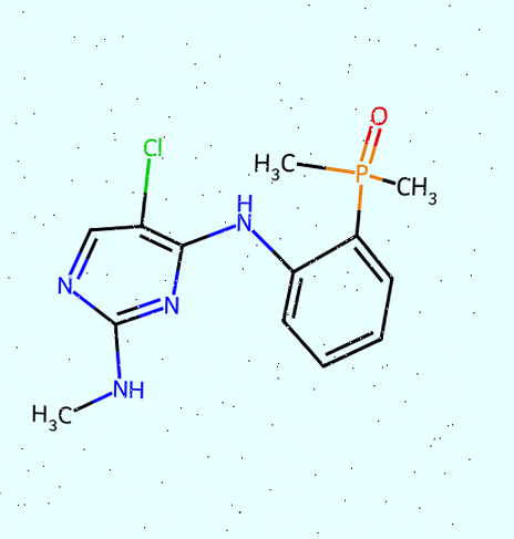 CNc1ncc(Cl)c(Nc2ccccc2P(C)(C)=O)n1